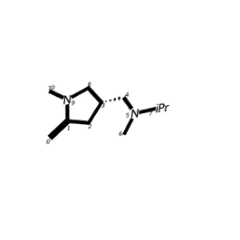 C=C1C[C@@H](CN(C)C(C)C)CN1C